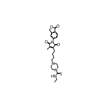 CCNC(=S)N1CCN(CCCCC2=C(C)C(=O)N(c3ccc4c(c3)COC4=O)C2=O)CC1